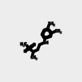 Cc1cc(NCCN(C)S(C)(=O)=O)ccc1N